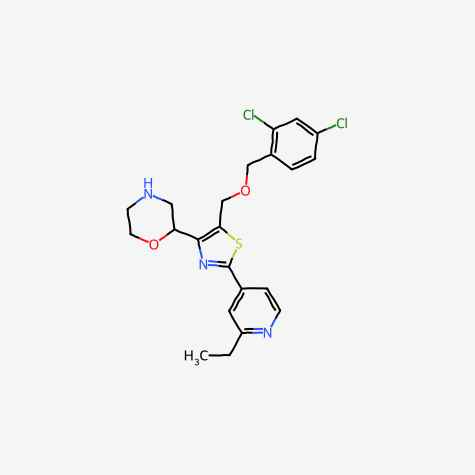 CCc1cc(-c2nc(C3CNCCO3)c(COCc3ccc(Cl)cc3Cl)s2)ccn1